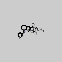 CCOC(=O)c1cc2c(nc1C)/C(=C/c1cccnc1)CCCC2